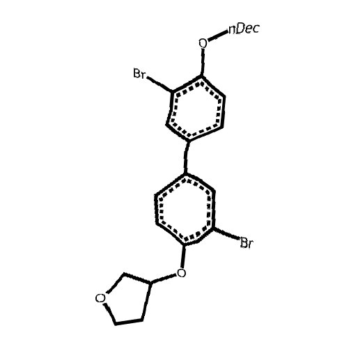 CCCCCCCCCCOc1ccc(-c2ccc(OC3CCOC3)c(Br)c2)cc1Br